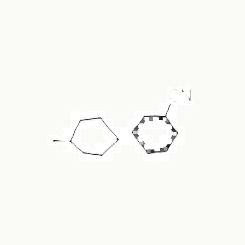 C[C@H]1CC[C@H](c2cccc(C#N)c2)CC1